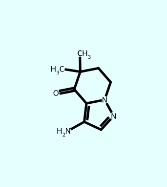 CC1(C)CCn2ncc(N)c2C1=O